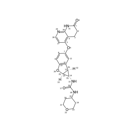 O=C1CCc2c(Oc3ccc4c(c3)[C@H]3[C@H](NC(=O)NC5CCOCC5)[C@H]3O4)ccnc2N1